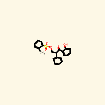 Cc1ccccc1S(=O)(=O)OCC(C(=O)c1ccccc1O)c1ccccc1